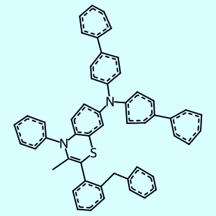 CC1=C(c2ccccc2Cc2ccccc2)Sc2cc(N(c3ccc(-c4ccccc4)cc3)c3ccc(-c4ccccc4)cc3)ccc2N1c1ccccc1